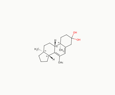 CC(=O)OC1=C2[C@@H]3CCC[C@@]3(C)CC[C@@H]2[C@@]2(C)CCC(O)(O)CC2=C1